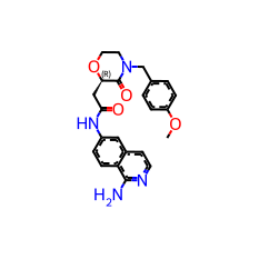 COc1ccc(CN2CCO[C@H](CC(=O)Nc3ccc4c(N)nccc4c3)C2=O)cc1